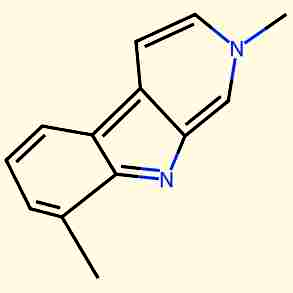 Cc1cccc2c3ccn(C)cc-3nc12